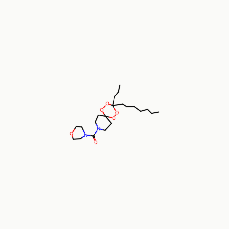 CCCCCCCC1(CCC)OOC2(CCN(C(=O)N3CCOCC3)CC2)OO1